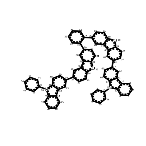 c1ccc(-n2c3ccccc3c3cc(-c4ccc5oc6ccc(-c7ccccc7-c7ccc8oc9ccc(-c%10ccc%11c(c%10)c%10ccccc%10n%11-c%10ccccc%10)cc9c8c7)cc6c5c4)ccc32)cc1